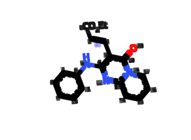 CCOC(=O)/C=C/c1c(Nc2ccccc2)nc2ccccn2c1=O